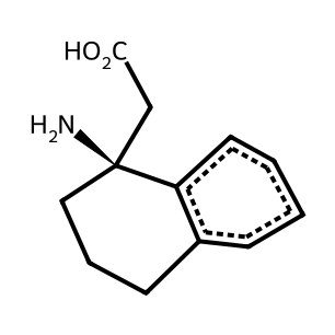 N[C@]1(CC(=O)O)CCCc2ccccc21